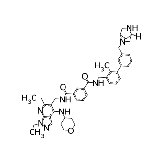 CCc1nc2c(cnn2CC)c(NC2CCOCC2)c1CNC(=O)c1cccc(C(=O)NCc2cccc(-c3cccc(CN4C[C@@H]5CC4CN5)c3)c2C)c1